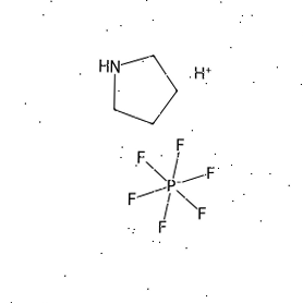 C1CCNC1.F[P-](F)(F)(F)(F)F.[H+]